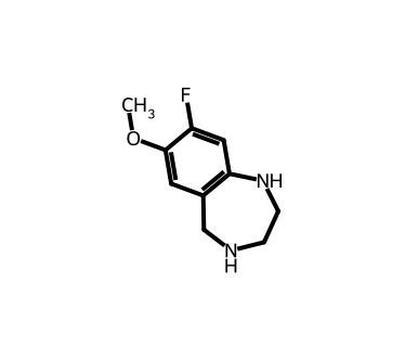 COc1cc2c(cc1F)NCCNC2